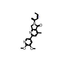 C=C(/C=C\C)N1Cc2nc(-c3cnc(OC)c(OC)c3)cc(C)c2C1=O